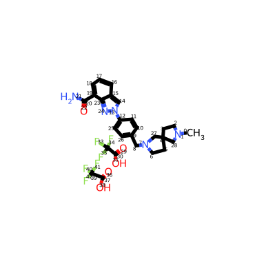 CN1CCC2(CCN(Cc3ccc(-n4cc5cccc(C(N)=O)c5n4)cc3)C2)C1.O=C(O)C(F)(F)F.O=C(O)C(F)(F)F